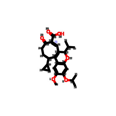 COc1cc2c(cc1OC(C)C)OC(C(C)C)C1=C2C(C2CC2)CCC(=O)/C(C(=O)O)=C\1